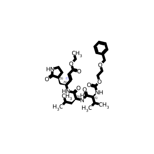 CCOC(=O)/C=C/[C@H](C[C@@H]1CCNC1=O)NC(=O)[C@H](CC(C)C)NC(=O)[C@@H](NC(=O)OCCOCc1ccccc1)C(C)C